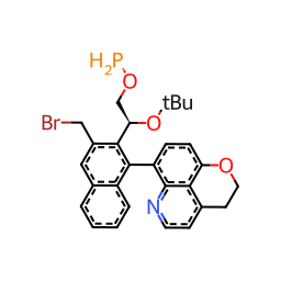 CC(C)(C)O[C@H](COP)c1c(CBr)cc2ccccc2c1-c1ccc2c3c(ccnc13)CCO2